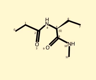 CCC(=O)N[C@@H](CC)C(=O)NC